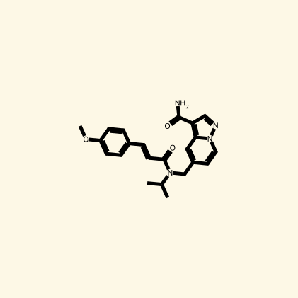 COc1ccc(C=CC(=O)N(Cc2ccn3ncc(C(N)=O)c3c2)C(C)C)cc1